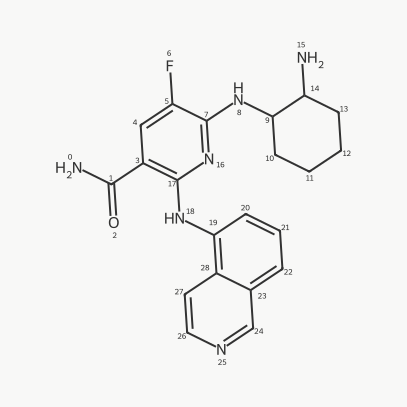 NC(=O)c1cc(F)c(NC2CCCCC2N)nc1Nc1cccc2cnccc12